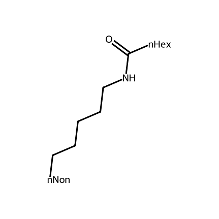 CCCCCCCCCCCCCCNC(=O)CCCCCC